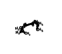 CCCCOC(C)COC(C)COC(=O)CCCCCCCCC(=O)OCC(C)OCC(C)OCCCC